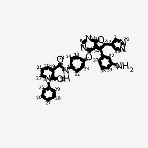 Cn1cc(-c2oc3ncnc(Oc4ccc(NC(=O)c5cccn(-c6ccccc6)c5=O)cc4)c3c2-c2cccc(N)c2)cn1